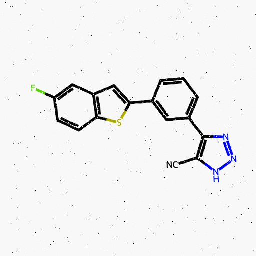 N#Cc1[nH]nnc1-c1cccc(-c2cc3cc(F)ccc3s2)c1